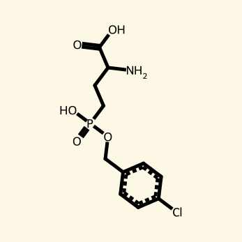 NC(CCP(=O)(O)OCc1ccc(Cl)cc1)C(=O)O